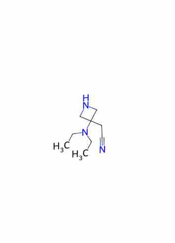 CCN(CC)C1(CC#N)CNC1